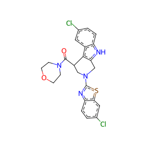 O=C(C1CN(c2nc3ccc(Cl)cc3s2)Cc2[nH]c3ccc(Cl)cc3c21)N1CCOCC1